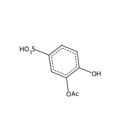 CC(=O)Oc1cc(S(=O)(=O)O)ccc1O